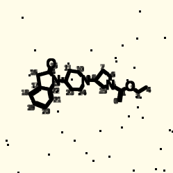 C=C(OCC)N1CCC(N2CCC(N3C(=O)Cc4ccccc43)CC2)C1